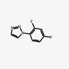 Fc1ccc(-n2ccnn2)c(F)c1